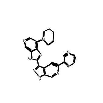 c1cnc(-c2cc3c(-c4nc5c(N6CCCCC6)cncc5[nH]4)n[nH]c3cn2)cn1